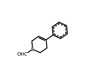 O=CB1CC=C(c2ccccc2)CC1